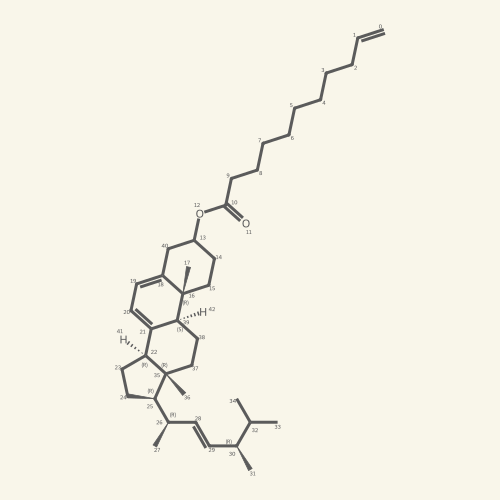 C=CCCCCCCCCC(=O)OC1CC[C@@]2(C)C(=CC=C3[C@@H]4CC[C@H]([C@H](C)C=C[C@H](C)C(C)C)[C@@]4(C)CC[C@@H]32)C1